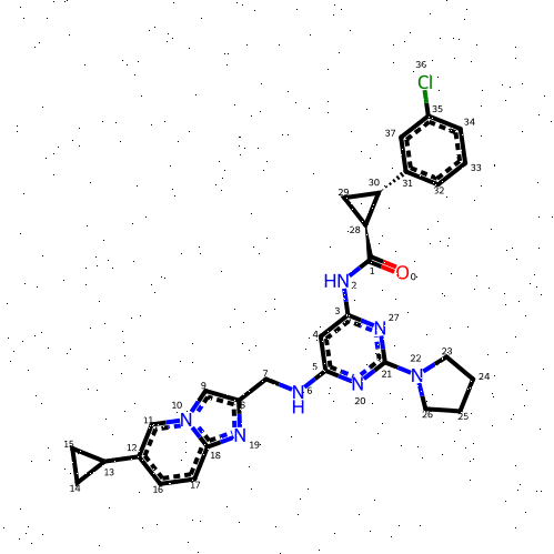 O=C(Nc1cc(NCc2cn3cc(C4CC4)ccc3n2)nc(N2CCCC2)n1)[C@H]1C[C@@H]1c1cccc(Cl)c1